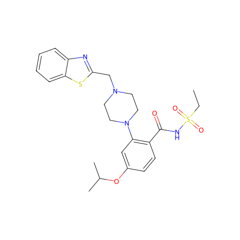 CCS(=O)(=O)NC(=O)c1ccc(OC(C)C)cc1N1CCN(Cc2nc3ccccc3s2)CC1